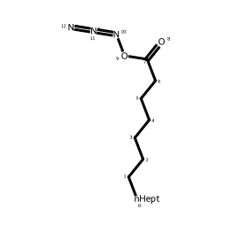 CCCCCCCCCCCCCC(=O)ON=[N+]=[N-]